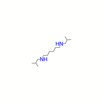 CC(C)CNCCCCCCNCC(C)C